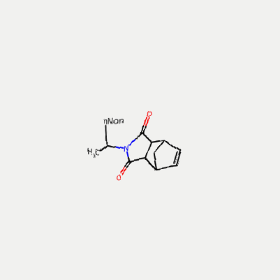 CCCCCCCCCC(C)N1C(=O)C2C3C=CC(C3)C2C1=O